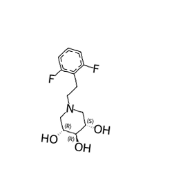 O[C@H]1[C@H](O)CN(CCc2c(F)cccc2F)C[C@@H]1O